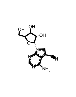 N#Cc1cn([C@@H]2OC(CO)[C@@H](O)[C@@H]2O)c2ncnc(N)c12